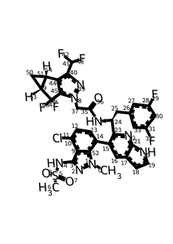 Cn1nc(NS(C)(=O)=O)c2c(Cl)ccc(-c3cc4cc[nH]c4nc3[C@H](Cc3cc(F)cc(F)c3)NC(=O)Cn3nc(C(F)F)c4c3C(F)(F)[C@@H]3C[C@H]43)c21